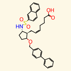 O=C(O)CCC/C=C\C[C@@H]1[C@@H](NS(=O)(=O)c2ccc3ccccc3c2)CC[C@@H]1OCc1ccc(-c2ccccc2)cc1